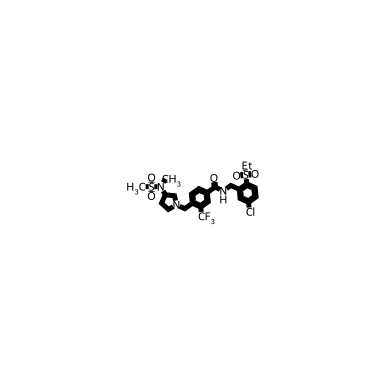 CCS(=O)(=O)c1ccc(Cl)cc1CNC(=O)c1ccc(CN2CCC(N(C)S(C)(=O)=O)C2)c(C(F)(F)F)c1